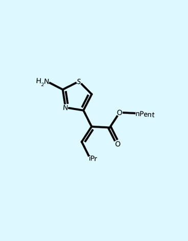 CCCCCOC(=O)C(=CC(C)C)c1csc(N)n1